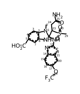 CN1c2ccc(C(=O)O)cc2NC1(Nc1nc2ccc(OC(F)(F)F)cc2s1)C(CC(N)=O)S(C)(=O)=O